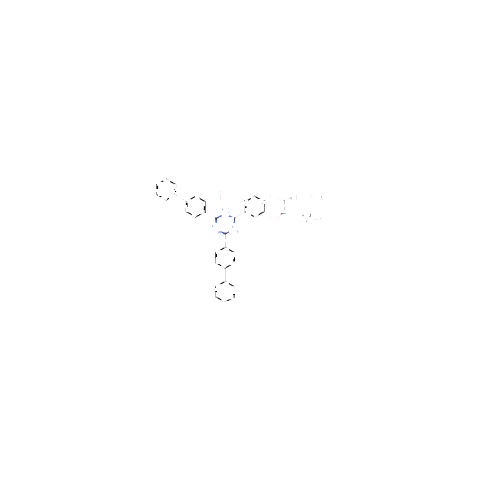 CCCCCCC(Oc1ccc(-c2nc(-c3ccc(-c4ccccc4)cc3)nc(-c3ccc(-c4ccccc4)cc3)n2)c(O)c1)C(=O)OC